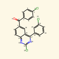 O=C(c1ccc(Cl)cc1)c1ccc2nc(Cl)nc(-c3cccc(Cl)c3)c2c1